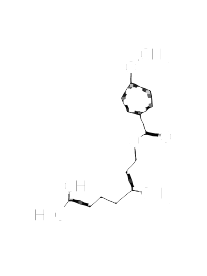 COc1ccc(C(=O)OC/C=C(\C)CCC=C(C)C)cc1